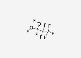 FOC(F)(OF)C(F)(F)C(F)(F)F